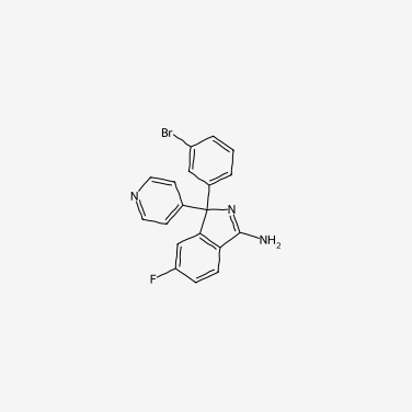 NC1=NC(c2ccncc2)(c2cccc(Br)c2)c2cc(F)ccc21